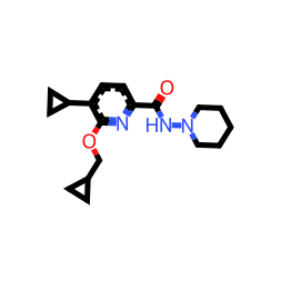 O=C(NN1CCCCC1)c1ccc(C2CC2)c(OCC2CC2)n1